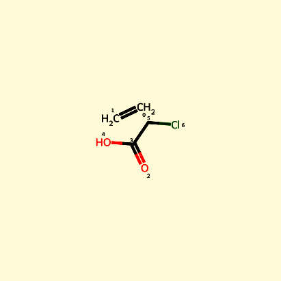 C=C.O=C(O)CCl